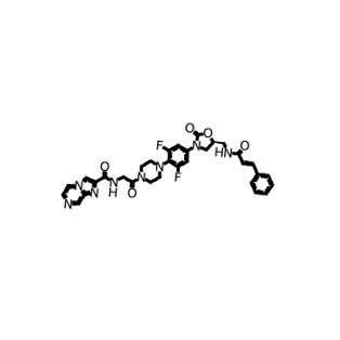 O=C(C=Cc1ccccc1)NC[C@H]1CN(c2cc(F)c(N3CCN(C(=O)CNC(=O)c4cn5ccncc5n4)CC3)c(F)c2)C(=O)O1